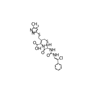 Cc1nnc(SCC2=C(C(=O)O)N3C(=O)C(NC(=O)NC=C(Cl)c4ccccc4)[C@@H]3SC2)s1